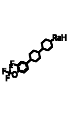 Fc1cc(C2CCC(C3CC[CH]([RaH])CC3)CC2)ccc1OC(F)(F)F